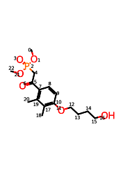 COP(=O)(CC(=O)c1ccc(OCCCCO)c(C)c1C)OC